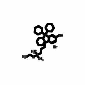 CCO[Si](C)(C)CCCOc1ccc(O)cc1[P+](C1CCCCC1)(C1CCCCC1)C1CCCCC1.[Br-]